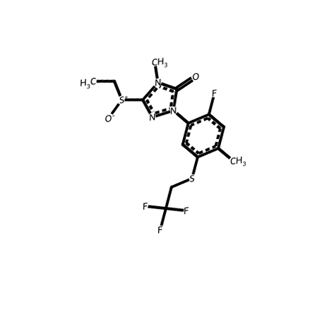 CC[S+]([O-])c1nn(-c2cc(SCC(F)(F)F)c(C)cc2F)c(=O)n1C